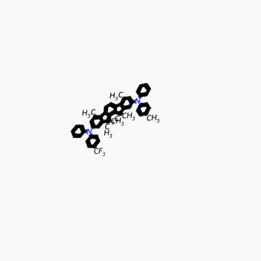 Cc1ccc(N(c2ccccc2)c2cc(C)c3c(c2)C(C)(C)c2c-3ccc3c2C(C)(C)c2cc(N(c4ccccc4)c4ccc(C(F)(F)F)cc4)cc(C)c2-3)cc1